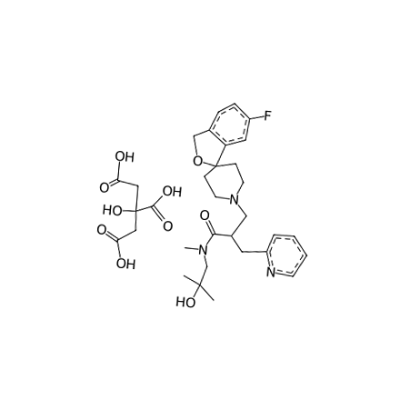 CN(CC(C)(C)O)C(=O)C(Cc1ccccn1)CN1CCC2(CC1)OCc1ccc(F)cc12.O=C(O)CC(O)(CC(=O)O)C(=O)O